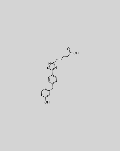 O=C(O)CCCCn1nnc(-c2ccc(Cc3cccc(O)c3)cc2)n1